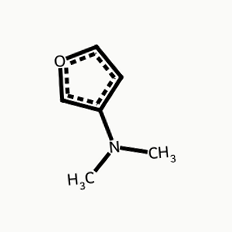 CN(C)c1ccoc1